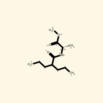 CCCC(CCC)C(=O)N[C@@H](C)C(=O)OC